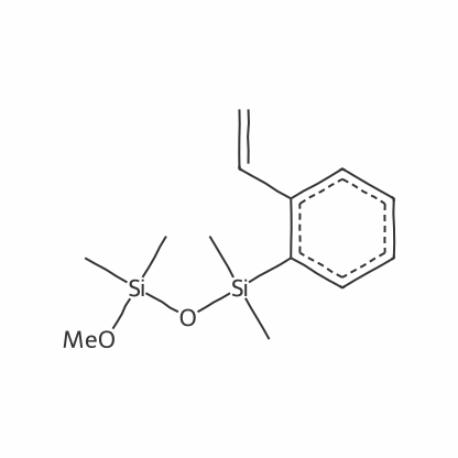 C=Cc1ccccc1[Si](C)(C)O[Si](C)(C)OC